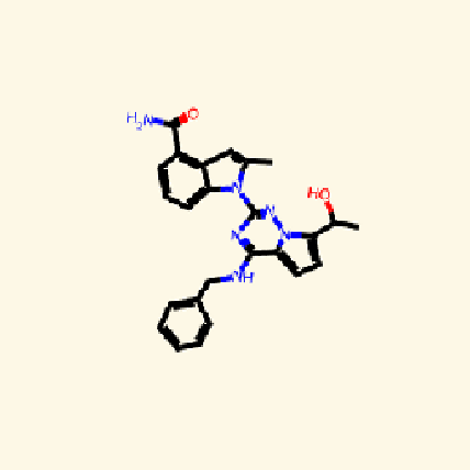 Cc1cc2c(C(N)=O)cccc2n1-c1nc(NCc2ccccc2)c2ccc(C(C)O)n2n1